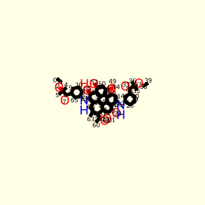 CCOC(C)(C)C(=O)C1CCCC(Nc2c3c4c5c(c(OC)c(=O)c6c(NC7CCCC(C(=O)C(C)(C)OCC)C7)cc(OC)c(c7c(OC)cc(O)c(c2=O)c74)c65)C(C(C)=O)C(C)=C3)C1